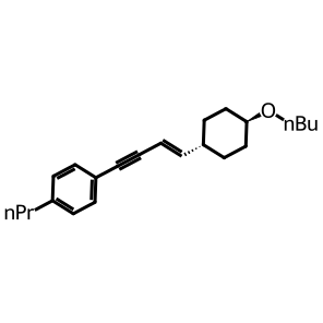 CCCCO[C@H]1CC[C@H](C=CC#Cc2ccc(CCC)cc2)CC1